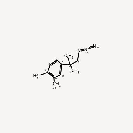 Cc1ccc(C(C)(C)CN=[N+]=[N-])cc1C